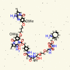 COc1cc2c(cc1OCCCCCOc1cc3c(cc1OC)C(=O)N1C=C(C)C[C@@]1(N)[C@H](O)N3C(=O)OCc1ccc(NC(=O)[C@H](C)NC(=O)[C@@H](NC(O)COCCOCCNS(=O)(=O)NC(=O)OC[C@H]3[C@H]4CCC#CCC[C@]43N)C(C)C)cc1)N=C[C@]1(N)CC(C)=CN1C2=O